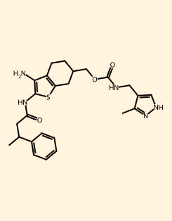 Cc1n[nH]cc1CNC(=O)OCC1CCc2c(sc(NC(=O)CC(C)c3ccccc3)c2N)C1